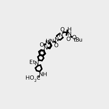 CCN(C1CCc2cc(-n3ccc(NC(=O)N4CCN(C(=O)C(C)(C)NC(=O)OC(C)(C)C)CC4)nc3=O)ccc2C1)[C@H]1CC[C@H](NC(=O)O)CC1